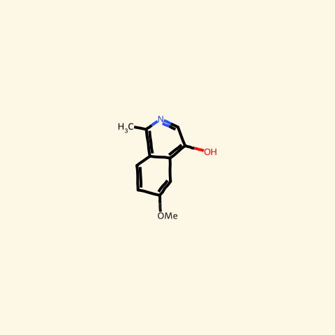 COc1ccc2c(C)ncc(O)c2c1